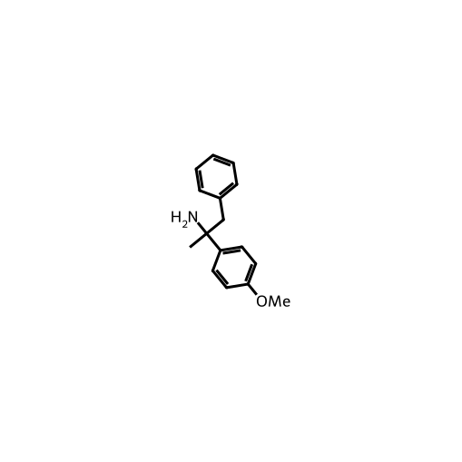 COc1ccc(C(C)(N)Cc2ccccc2)cc1